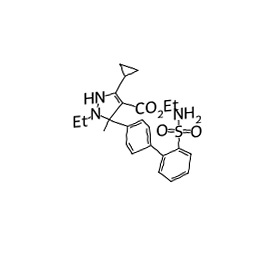 CCOC(=O)C1=C(C2CC2)NN(CC)C1(C)c1ccc(-c2ccccc2S(N)(=O)=O)cc1